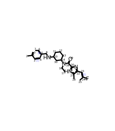 C=C(C)/C=C\C(=C/C)CNC1CCCC(N(CC)C(=O)c2nc(/C=C(\C)F)c(C)[nH]2)C1